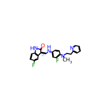 CN(CCc1ccccn1)c1ccc(N/C=C2\C(=O)Nc3ccc(F)cc32)cc1F